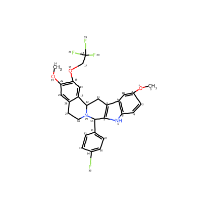 COc1ccc2[nH]c3c(c2c1)CC1c2cc(OCC(F)(F)F)c(OC)cc2CCN1C3c1ccc(F)cc1